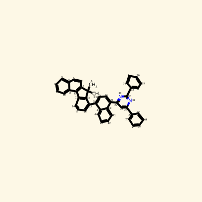 CC1(C)c2ccc3ccccc3c2-c2cccc(-c3ccc(-c4cc(-c5ccccc5)nc(-c5ccccc5)n4)c4ccccc34)c21